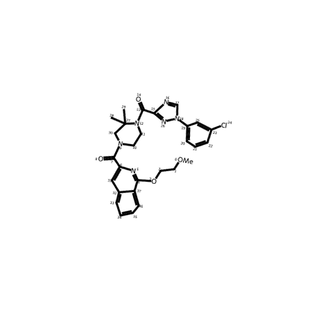 COCCOc1nc(C(=O)N2CCN(C(=O)c3ncn(-c4cccc(Cl)c4)n3)C(C)(C)C2)cc2ccccc12